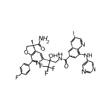 Cc1cnc2c(Nc3cncnc3)cc(C(=O)NCC(O)(c3cc4c(c(-c5ccc(F)cc5)n3)OC[C@]4(C)C(N)=O)C(F)(F)F)cc2c1